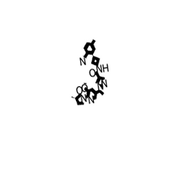 COc1cc(C(C)n2cc(C(=O)N[C@H]3C[C@@H](c4cc(C)ccc4C#N)C3)cn2)cnc1N1CC[C@H](C)C1=O